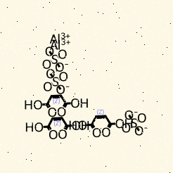 O=C(O)/C=C\C(=O)O.O=C(O)/C=C\C(=O)O.O=C(O)/C=C\C(=O)O.O=S(=O)([O-])[O-].O=S(=O)([O-])[O-].O=S(=O)([O-])[O-].[Al+3].[Al+3]